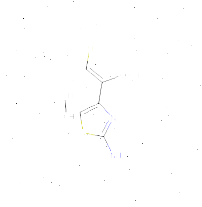 CC.Nc1nc(C(=CS)C(=O)O)cs1